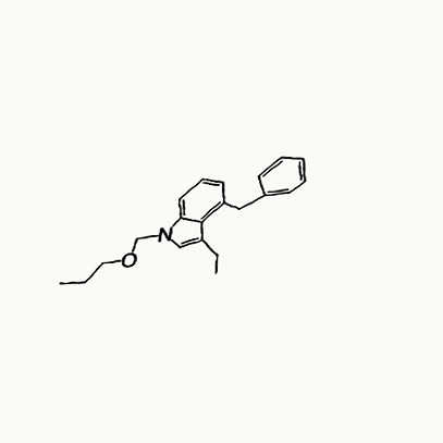 CCCOCn1cc(CC)c2c(Cc3ccccc3)cccc21